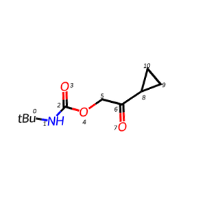 CC(C)(C)NC(=O)OCC(=O)C1CC1